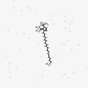 CCCCCCCCCCCCCCCCCCC[n+]1ccn(C(C)C)c1C(C)C